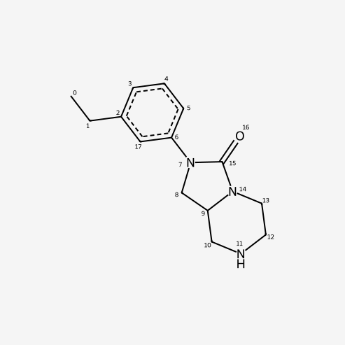 CCc1cccc(N2CC3CNCCN3C2=O)c1